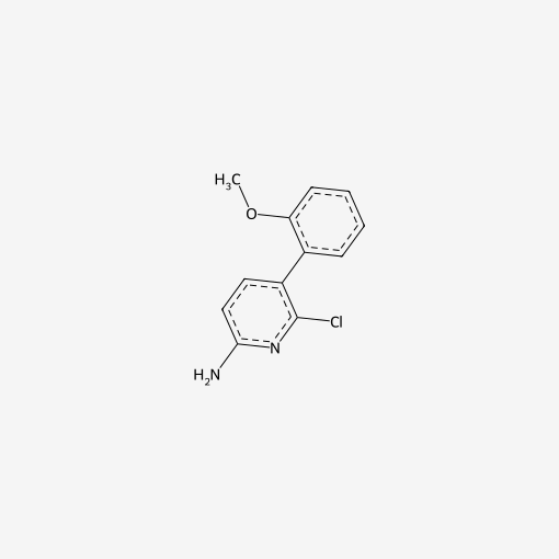 COc1ccccc1-c1ccc(N)nc1Cl